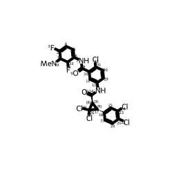 CNC1C(F)=CC=C(NC(=O)c2cc(NC(=O)[C@H]3[C@H](c4ccc(Cl)c(Cl)c4)C3(Cl)Cl)ccc2Cl)C1F